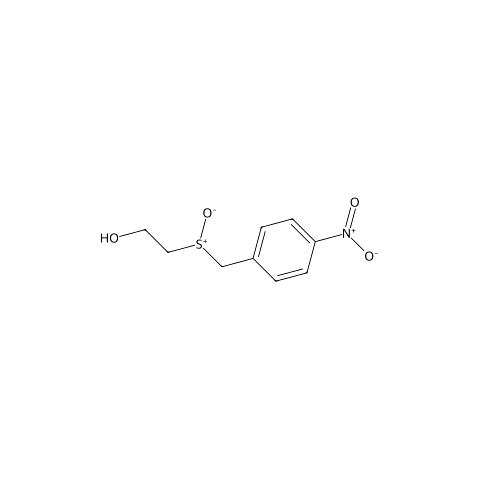 O=[N+]([O-])c1ccc(C[S+]([O-])CCO)cc1